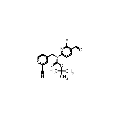 CC(C)(C)OC(=O)N(Cc1ccnc(C#N)c1)c1ccc(C=O)c(F)n1